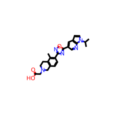 Cc1c(-c2noc(-c3cnc4c(ccn4C(C)C)c3)n2)ccc2c1CCN(CC(=O)O)C2